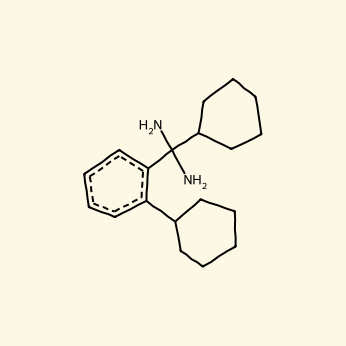 NC(N)(c1ccccc1C1CCCCC1)C1CCCCC1